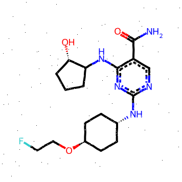 NC(=O)c1cnc(N[C@H]2CC[C@H](OCCF)CC2)nc1NC1CCC[C@@H]1O